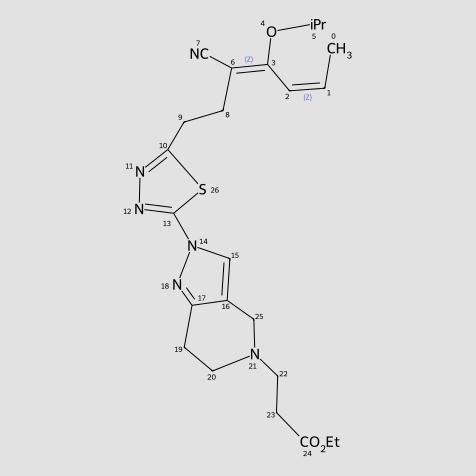 C/C=C\C(OC(C)C)=C(\C#N)CCc1nnc(-n2cc3c(n2)CCN(CCC(=O)OCC)C3)s1